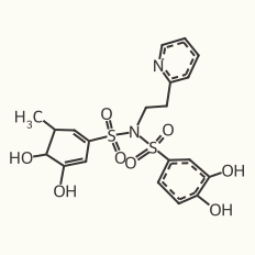 CC1C=C(S(=O)(=O)N(CCc2ccccn2)S(=O)(=O)c2ccc(O)c(O)c2)C=C(O)C1O